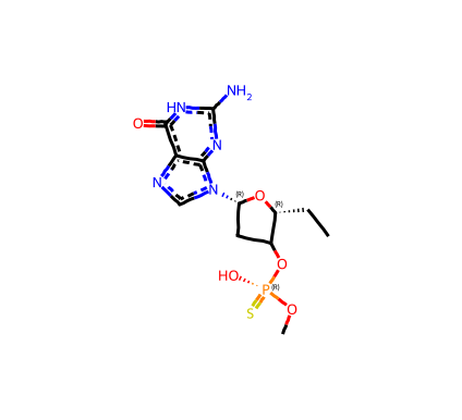 CC[C@H]1O[C@@H](n2cnc3c(=O)[nH]c(N)nc32)CC1O[P@](O)(=S)OC